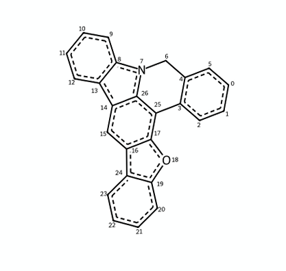 c1ccc2c(c1)Cn1c3ccccc3c3cc4c(oc5ccccc54)c-2c31